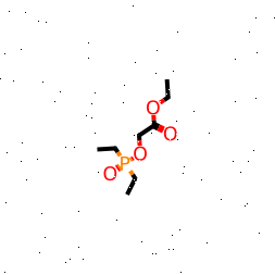 CCOC(=O)COP(=O)(CC)CC